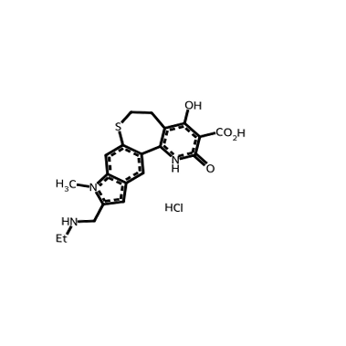 CCNCc1cc2cc3c(cc2n1C)SCCc1c-3[nH]c(=O)c(C(=O)O)c1O.Cl